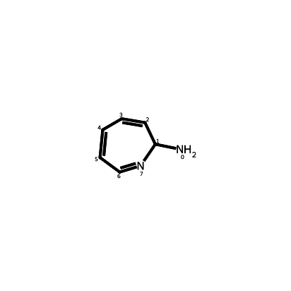 NC1C=CC=CC=N1